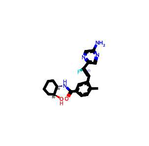 Cc1ccc(C(=O)N[C@H]2CCCC[C@@H]2O)cc1/C=C(\F)c1cnc(N)cn1